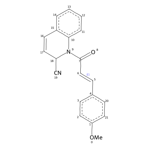 COc1ccc(/C=C/C(=O)N2c3ccccc3C=CC2C#N)cc1